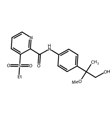 CCS(=O)(=O)c1cccnc1C(=O)Nc1ccc(C(C)(CO)OC)cc1